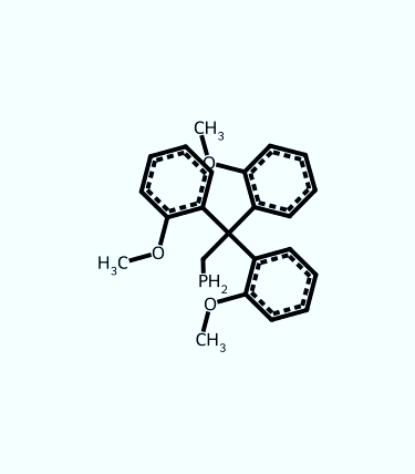 COc1ccccc1C(CP)(c1ccccc1OC)c1ccccc1OC